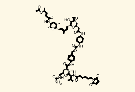 CC(=O)O[C@@H](C)C=CC(=O)N[C@@H]1C[C@H](C)[C@H](CC=C(C)C=C[C@H]2O[C@H](CC(=O)N[C@H]3CC[C@H](NC(=O)OCc4ccc(NC(=O)[C@H](CCCNC(N)=O)NC(=O)[C@@H](NC(=O)CCCCCN5C(=O)C=CC5=O)C(C)C)cc4)CC3)C[C@@]3(CO3)[C@@H]2O)O[C@@H]1C